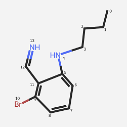 CCCCNc1cccc(Br)c1C=N